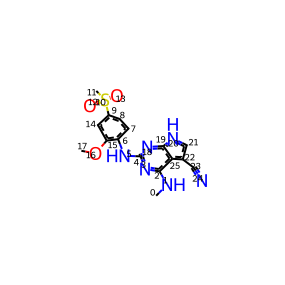 CNc1nc(Nc2ccc(S(C)(=O)=O)cc2OC)nc2[nH]cc(C#N)c12